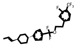 C/C=C/[C@H]1CC[C@H](c2ccc(C(F)(F)OCCc3ccc(C(F)(F)F)c(F)c3)cc2)CC1